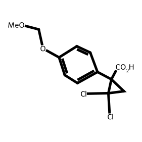 COCOc1ccc(C2(C(=O)O)CC2(Cl)Cl)cc1